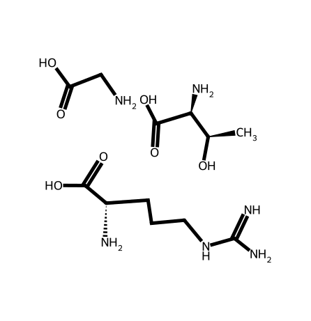 C[C@@H](O)[C@H](N)C(=O)O.N=C(N)NCCC[C@H](N)C(=O)O.NCC(=O)O